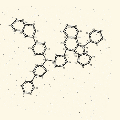 c1ccc(-c2ccc(N(c3ccc(-c4ccc5ccccc5c4)cc3)c3cccc(-c4cc5ccccc5c5c4c4ccccc4n5-c4ccccc4)c3)cc2)cc1